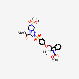 COC(=O)[C@H](CNS(=O)(=O)c1ccc(OCc2c(C)n(C(=O)OC(C)(C)C)c3ccccc23)cc1)N1CCN(S(C)(=O)=O)CC1